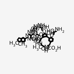 Cc1nc(-c2ccc3c(c2)CCC3(C)C)nc(N)c1C(=O)N[C@@H](CNS(N)(=O)=O)C(=O)N(C)[C@@H]1C(=O)N[C@@H](C)C(O)N[C@H](C(=O)O)Cc2ccc(OC[C@H](O)CN)c(c2)-c2cc1cc(OC[C@H](O)CN)c2O